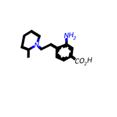 CC1CCCCN1CCc1ccc(C(=O)O)cc1N